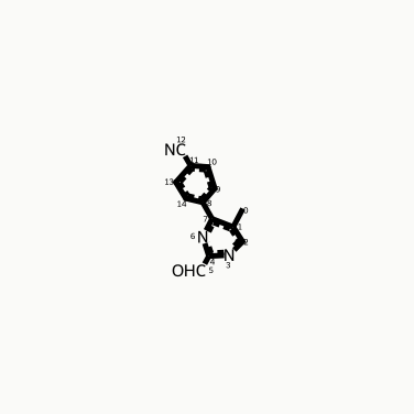 Cc1cnc(C=O)nc1-c1ccc(C#N)cc1